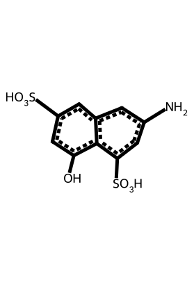 Nc1cc(S(=O)(=O)O)c2c(O)cc(S(=O)(=O)O)cc2c1